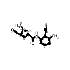 Cc1cccc(NC(=O)c2cc(C=O)n(C)n2)c1C#N